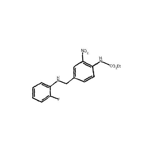 CCOC(=O)Nc1ccc(CNc2ccccc2F)cc1[N+](=O)[O-]